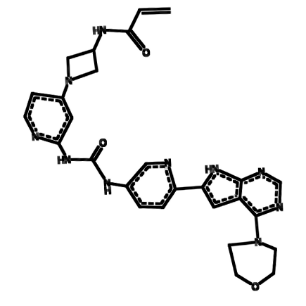 C=CC(=O)NC1CN(c2ccnc(NC(=O)Nc3ccc(-c4cc5c(N6CCOCC6)ncnc5[nH]4)nc3)c2)C1